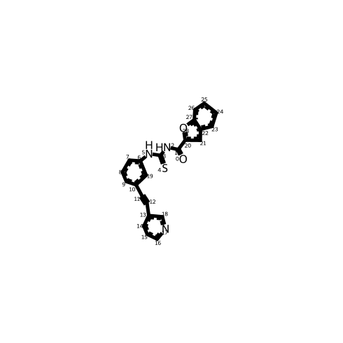 O=C(NC(=S)Nc1cccc(C#Cc2cccnc2)c1)c1cc2ccccc2o1